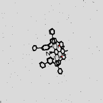 Cc1c(C)c(C)c(-c2c(-n3c4ccccc4c4cccnc43)c(-n3c4ccc(-c5ccccc5)cc4c4cc(-c5ccccc5)ccc43)c(C#N)c(-n3c4ccc(-c5ccccc5)cc4c4cc(-c5ccccc5)ccc43)c2-n2c3ccccc3c3cccnc32)c(C)c1C